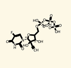 C#CC1(O)[C@@H](O)C(COP(=O)(O)OP(=O)(O)OP(=O)(O)O)O[C@H]1n1cc(F)c(=O)[nH]c1=O